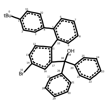 CC(C)(C)c1ccc(-c2ccccc2-c2ccc(Br)cc2C(O)(c2ccccc2)c2ccccc2)cc1